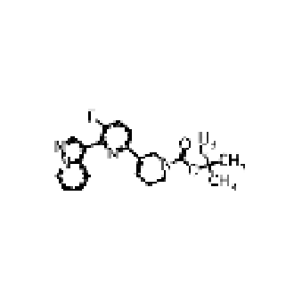 CC(C)(C)OC(=O)N1CCC=C(c2ccc(F)c(-c3cnn4ccccc34)n2)C1